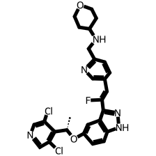 C[C@H](Oc1ccc2[nH]nc(/C(F)=C/c3ccc(CNC4CCOCC4)nc3)c2c1)c1c(Cl)cncc1Cl